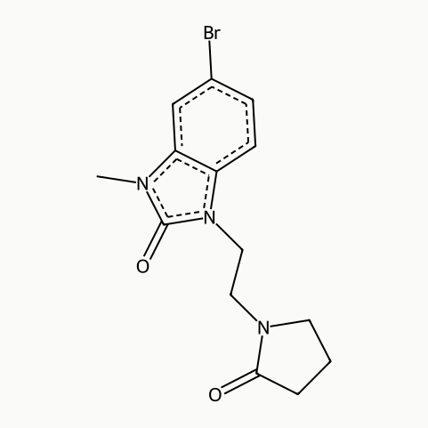 Cn1c(=O)n(CCN2CCCC2=O)c2ccc(Br)cc21